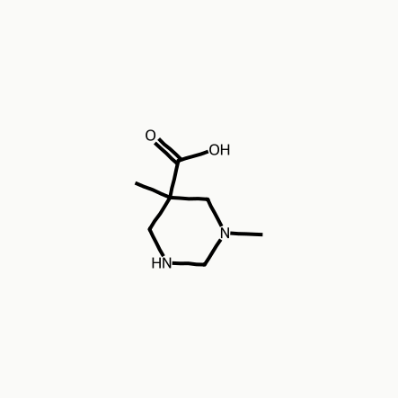 CN1CNCC(C)(C(=O)O)C1